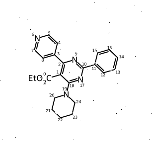 CCOC(=O)c1c(-c2ccncc2)nc(-c2ccccc2)nc1N1CCCCC1